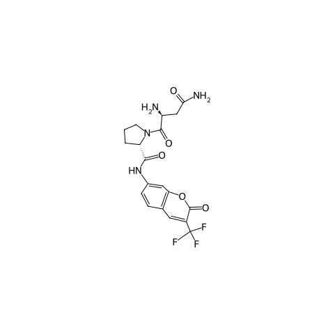 NC(=O)C[C@H](N)C(=O)N1CCC[C@H]1C(=O)Nc1ccc2cc(C(F)(F)F)c(=O)oc2c1